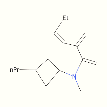 C=C(/C=C\CC)C(=C)N(C)C1CC(CCC)C1